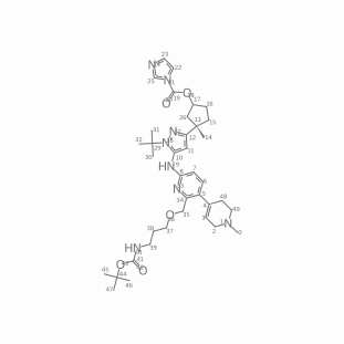 CN1CC=C(c2ccc(Nc3cc([C@@]4(C)CCC(OC(=O)n5ccnc5)C4)nn3C(C)(C)C)nc2COCCCNC(=O)OC(C)(C)C)CC1